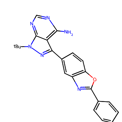 CC(C)(C)n1nc(-c2ccc3oc(-c4ccccc4)nc3c2)c2c(N)ncnc21